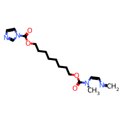 C=N/C=C\N(C)C(=O)OCCCCCCCCOC(=O)n1ccnc1